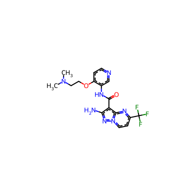 CN(C)CCOc1ccncc1NC(=O)c1c(N)nn2ccc(C(F)(F)F)nc12